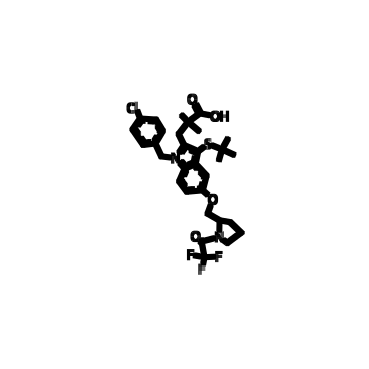 CC(C)(C)Sc1c(CC(C)(C)C(=O)O)n(Cc2ccc(Cl)cc2)c2ccc(OCC3CCCN3C(=O)C(F)(F)F)cc12